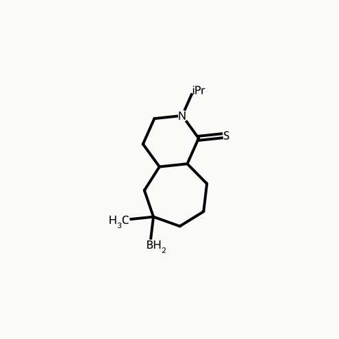 BC1(C)CCCC2C(=S)N(C(C)C)CCC2C1